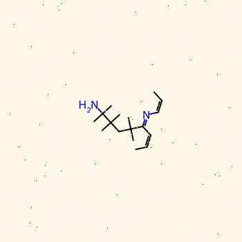 C\C=C/N=C(\C=C/C)C(C)(C)CC(C)(C)C(C)(C)N